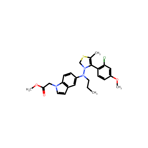 CCCN(c1ccc2c(ccn2CC(=O)OC)c1)N1CSC(C)=C1c1ccc(OC)cc1Cl